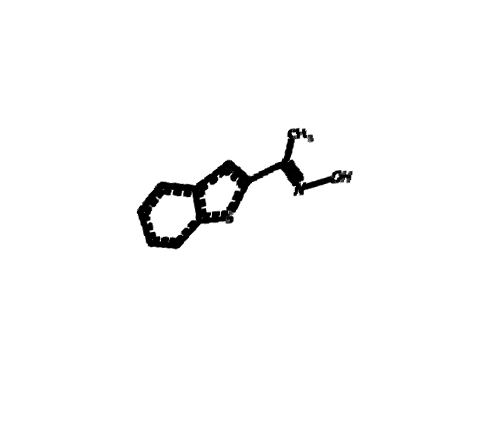 C/C(=N\O)c1cc2ccccc2s1